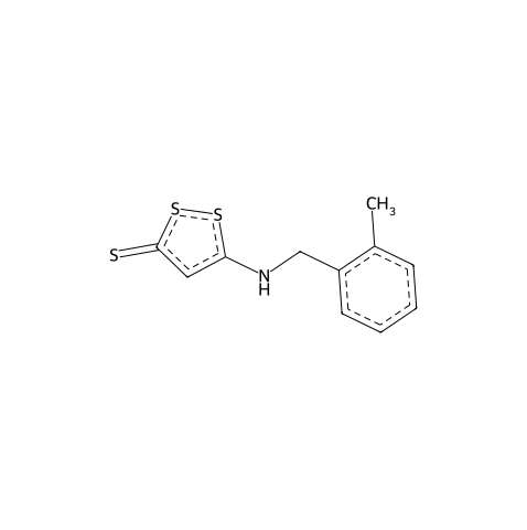 Cc1ccccc1CNc1cc(=S)ss1